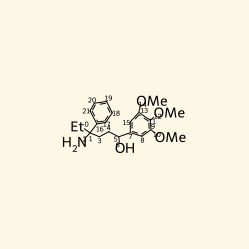 CCC(N)(CCC(O)c1cc(OC)c(OC)c(OC)c1)c1ccccc1